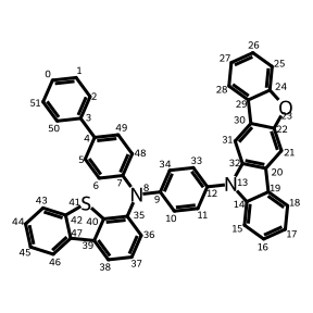 c1ccc(-c2ccc(N(c3ccc(-n4c5ccccc5c5cc6oc7ccccc7c6cc54)cc3)c3cccc4c3sc3ccccc34)cc2)cc1